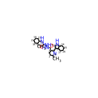 Cc1ccc(C(=O)NNC(=O)Nc2ccccc2C)c(-c2c[nH]c3ccccc23)n1